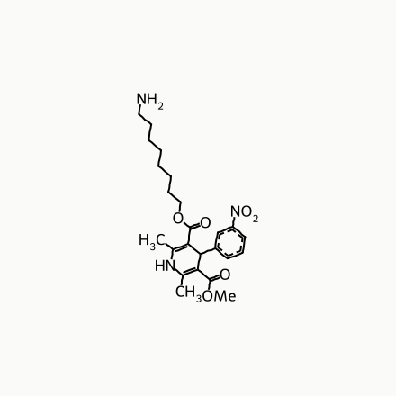 COC(=O)C1=C(C)NC(C)=C(C(=O)OCCCCCCCCN)C1c1cccc([N+](=O)[O-])c1